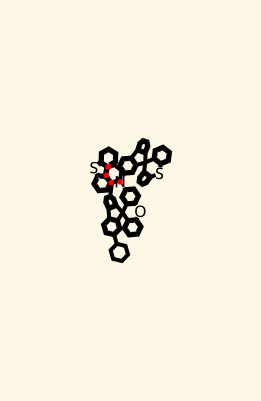 c1ccc2c(c1)Oc1ccc(N(c3ccc4c(c3)C3(c5ccccc5Sc5ccccc53)c3ccccc3-4)c3cccc4sc5ccccc5c34)cc1C21c2cc(C3CCCCC3)ccc2-c2ccc(C3CCCCC3)cc21